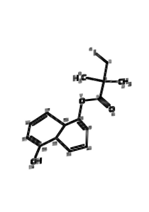 CC(C)(CI)C(=O)OC1=CC=CC2C(O)=CC=CC12